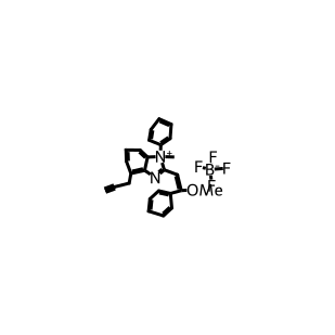 C#CCc1cccc2c1N=C(C=C(OC)c1ccccc1)[N+]2(C)c1ccccc1.F[B-](F)(F)F